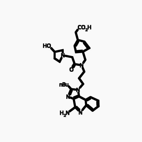 CCCCc1nc2c(N)nc3ccccc3c2n1CCCN(Cc1ccc(CC(=O)O)cc1)C(=O)CN1CCC(O)C1